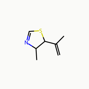 C=C(C)C1SC=NC1C